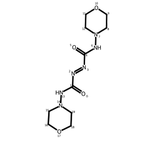 O=C(N=NC(=O)NN1CCOCC1)NN1CCOCC1